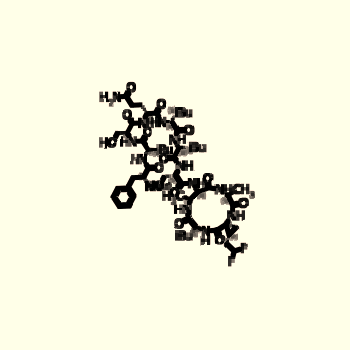 CC[C@H](C)[C@H](NC(=O)[C@@H](Cc1ccccc1)NC)C(=O)N[C@@H](CO)C(=O)N[C@H](CCC(N)=O)C(=O)N[C@@H](C(=O)N[C@H](C(=O)N[C@@H](CO)C(=O)N[C@H]1C(=O)N[C@@H](C)C(=O)N[C@]2(C[C@@H]2CC(F)F)C(=O)N[C@@H]([C@@H](C)CC)C(=O)N[C@H]1C)[C@@H](C)CC)[C@@H](C)CC